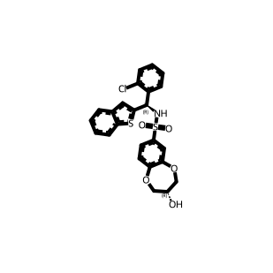 O=S(=O)(N[C@@H](c1cc2ccccc2s1)c1ccccc1Cl)c1ccc2c(c1)OC[C@H](O)CO2